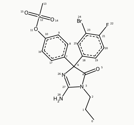 CCCN1C(=O)C(c2ccc(OS(C)(=O)=O)cc2)(c2ccc(F)c(Br)c2)N=C1N